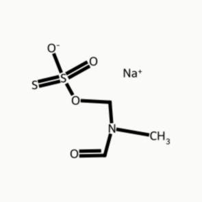 CN(C=O)COS(=O)([O-])=S.[Na+]